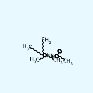 CCCCCCCCc1cc(N=CC(CC)=Nc2ccc(CCCC)c(-c3ccccc3)c2)cc(CCCC)c1CCCCCCCC